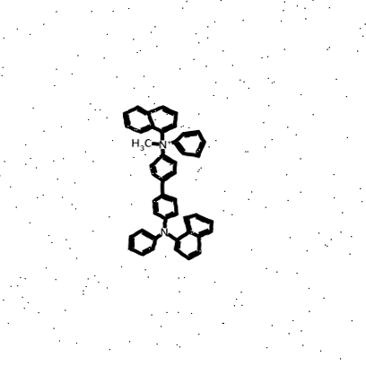 C[N+](c1ccccc1)(c1ccc(-c2ccc(N(c3ccccc3)c3cccc4ccccc34)cc2)cc1)c1cccc2ccccc12